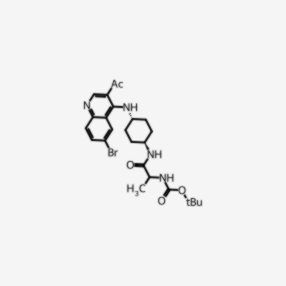 CC(=O)c1cnc2ccc(Br)cc2c1N[C@H]1CC[C@H](NC(=O)C(C)NC(=O)OC(C)(C)C)CC1